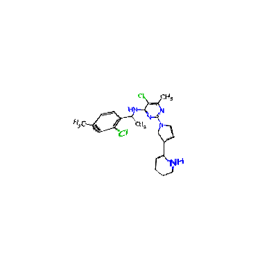 Cc1ccc(C(C)Nc2nc(N3CCC(C4CCCCN4)C3)nc(C)c2Cl)c(Cl)c1